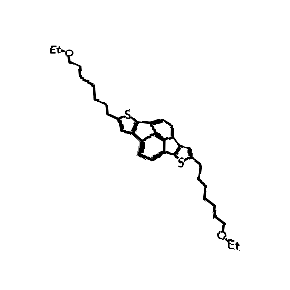 CCOCCCCCCCc1cc2c(s1)-c1ccc3c4c(ccc-2c14)-c1sc(CCCCCCCOCC)cc1-3